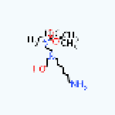 CN(CCN(CCO)CCCCCCN)C(=O)OC(C)(C)C